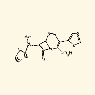 CC(=O)N(c1cccs1)C1C(=O)N2C(C(=O)O)=C(c3cncs3)CSC12